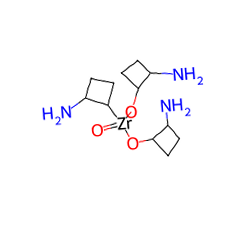 NC1CCC1[O][Zr](=[O])([O]C1CCC1N)[CH]1CCC1N